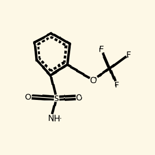 [NH]S(=O)(=O)c1ccccc1OC(F)(F)F